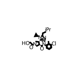 Cc1c(Cl)cccc1NC(=O)[C@H]1CN(C(=O)CO)C[C@@H]1c1nnc(CCC(C)C)n1C1CC1